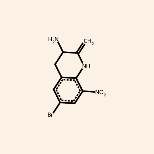 C=C1Nc2c(cc(Br)cc2[N+](=O)[O-])CC1N